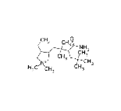 CCC1C[N+](C)(C)CC1CC(C)(C)C(CC(C)(C)C)C(N)=O